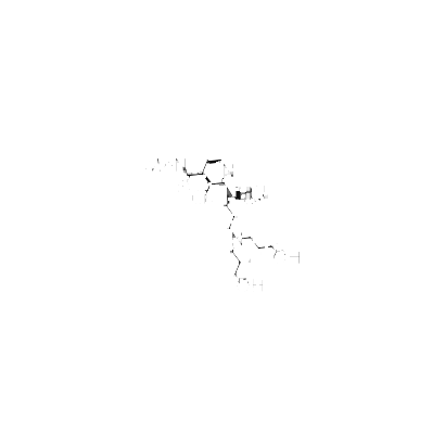 CNC(=O)c1ccnc(NCCCN(CCCO)CCCO)c1Cl.Cl.Cl